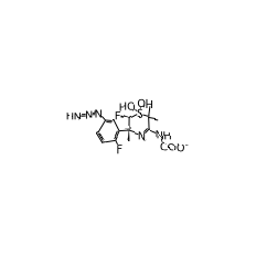 CC1(C)C(NC(=O)[O-])=N[C@](C)(c2cc(N=[N+]=N)ccc2F)[C@@H](F)S1(O)O